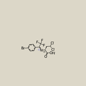 O=C(O)[C@H](CC(Cl)Cl)/N=C(/c1ccc(Br)cc1)C(F)(F)F